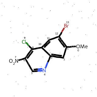 COc1cc2ncc([N+](=O)[O-])c(Cl)c2cc1Br